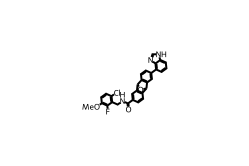 COc1ccc(Cl)c(CNC(=O)c2ccc3c(c2)C2OC3c3cc(-c4cccc5[nH]cnc45)ccc32)c1F